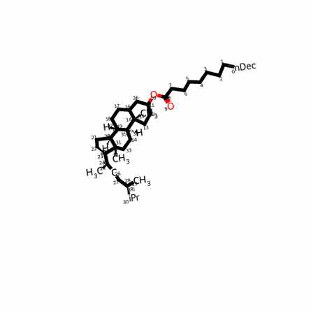 CCCCCCCCCCCCCCCCCC(=O)OC1CC[C@@]2(C)C(CC[C@H]3[C@@H]4CC[C@H]([C@H](C)CC[C@@H](C)C(C)C)[C@@]4(C)CC[C@@H]32)C1